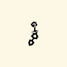 c1ccc(-c2ccc3nc(N4CCN5CCC4CC5)oc3c2)cc1